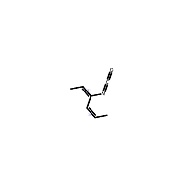 C/C=C\C(=C/C)N=C=O